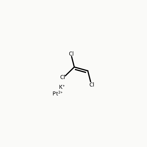 ClC=C(Cl)Cl.[K+].[Pt+2]